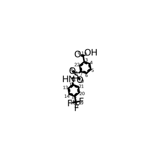 O=C(O)c1cccc(S(=O)(=O)Nc2ccc(C(F)(F)F)cc2)c1